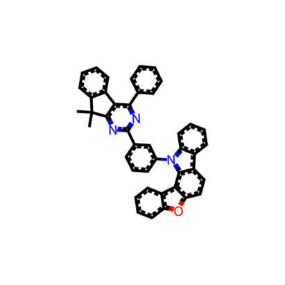 CC1(C)c2ccccc2-c2c(-c3ccccc3)nc(-c3cccc(-n4c5ccccc5c5ccc6oc7ccccc7c6c54)c3)nc21